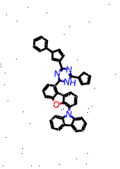 C1=CCC(C2=NC(C3=CC(c4ccccc4)C=C3)=NC(c3cccc4oc5c(-n6c7ccccc7c7ccccc76)cccc5c34)N2)=C1